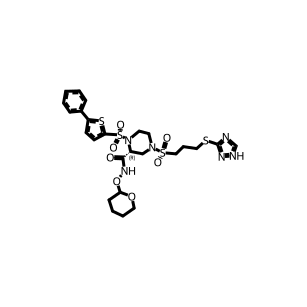 O=C(NOC1CCCCO1)[C@H]1CN(S(=O)(=O)CCCSc2nc[nH]n2)CCN1S(=O)(=O)c1ccc(-c2ccccc2)s1